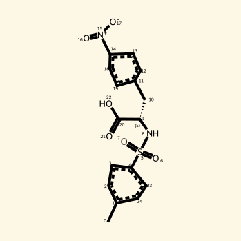 Cc1ccc(S(=O)(=O)N[C@@H](Cc2ccc([N+](=O)[O-])cc2)C(=O)O)cc1